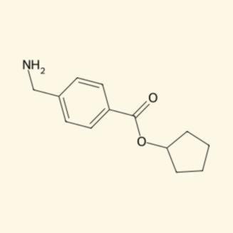 NCc1ccc(C(=O)OC2CCCC2)cc1